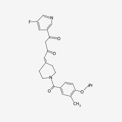 Cc1cc(C(=O)N2CCC(=CC(=O)CC(=O)c3cncc(F)c3)CC2)ccc1OC(C)C